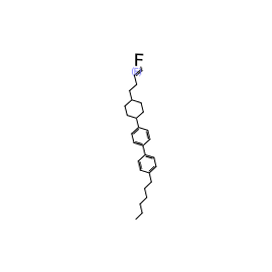 CCCCCCc1ccc(-c2ccc(C3CCC(CC/C=C/F)CC3)cc2)cc1